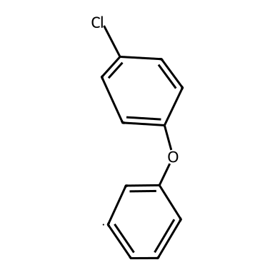 Clc1ccc(Oc2c[c]ccc2)cc1